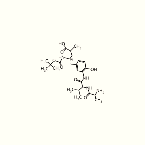 CC(N)C(=O)NC(C(=O)Nc1cc(C[C@@H](CC(C)C(=O)O)NC(=O)OC(C)(C)C)ccc1O)C(C)C